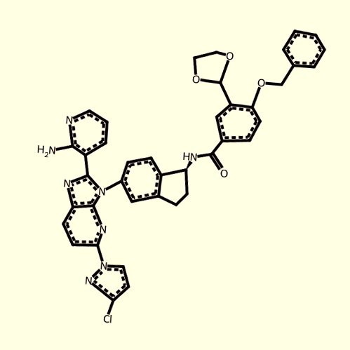 Nc1ncccc1-c1nc2ccc(-n3ccc(Cl)n3)nc2n1-c1ccc2c(c1)CC[C@@H]2NC(=O)c1ccc(OCc2ccccc2)c(C2OCCO2)c1